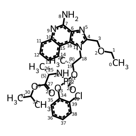 CCOCc1nc2c(N)nc3ccccc3c2n1C[C@@H](C)O[P@@](=O)(N[C@@H](C)C(=O)OC(C)C)Oc1ccccc1Cl